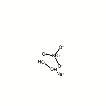 OO.[Na+].[O-][Br+2]([O-])[O-]